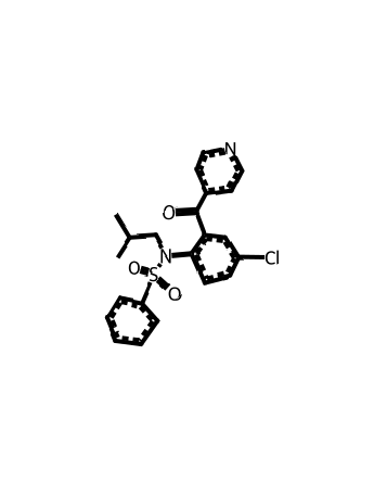 CC(C)CN(c1ccc(Cl)cc1C(=O)c1ccncc1)S(=O)(=O)c1ccccc1